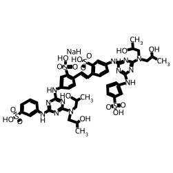 CC(O)CN(CC(C)O)c1nc(Nc2cccc(S(=O)(=O)O)c2)nc(Nc2ccc(C=Cc3ccc(Nc4nc(Nc5cccc(S(=O)(=O)O)c5)nc(N(CC(C)O)CC(C)O)n4)cc3S(=O)(=O)O)c(S(=O)(=O)O)c2)n1.[NaH]